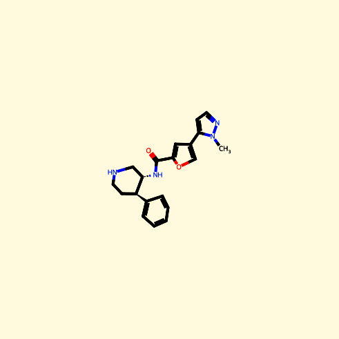 Cn1nccc1-c1coc(C(=O)N[C@H]2CNCC[C@@H]2c2ccccc2)c1